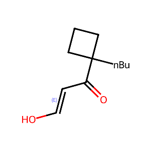 CCCCC1(C(=O)/C=C/O)CCC1